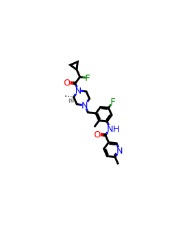 Cc1ccc(C(=O)Nc2cc(F)cc(CN3CCN(C(=O)C(F)C4CC4)[C@@H](C)C3)c2C)cn1